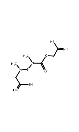 CN(CC(=N)S)SN(C)C(=O)OCC(=N)S